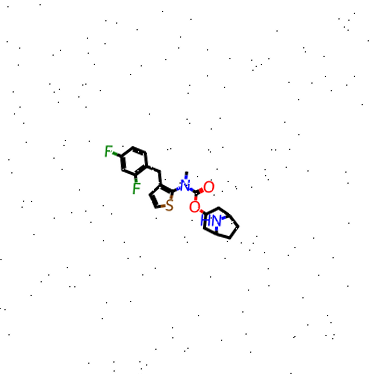 CN(C(=O)OC1CC2CCC(C1)N2)c1sccc1Cc1ccc(F)cc1F